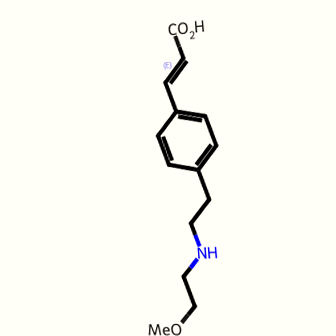 COCCNCCc1ccc(/C=C/C(=O)O)cc1